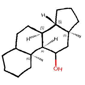 C[C@@]12CCC[C@H]1[C@@H]1CCC3CCCC[C@]3(C)[C@@H]1C(O)C2